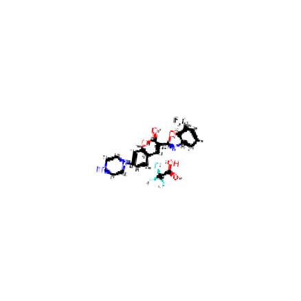 O=C(O)C(F)(F)F.O=c1oc2cc(N3CCNCC3)ccc2cc1-c1nc2cccc(C(F)(F)F)c2o1